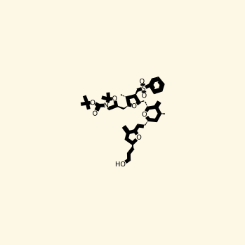 C=C1C[C@H](CCCO)OC1CC[C@H]1C[C@@H](C)C(=C)[C@@H](C[C@@H]2O[C@H](C[C@H]3CN(C(=O)OC(C)(C)C)C(C)(C)O3)[C@H](C)[C@H]2CS(=O)(=O)c2ccccc2)O1